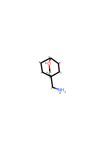 NCC12CCC(CC1)OC2